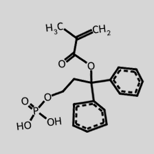 C=C(C)C(=O)OC(CCOP(=O)(O)O)(c1ccccc1)c1ccccc1